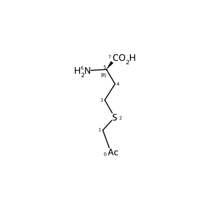 CC(=O)CSCC[C@@H](N)C(=O)O